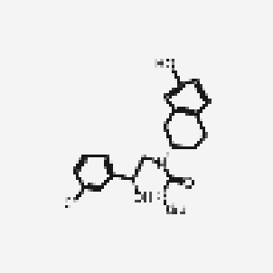 CC(C)(C)OC(=O)N(C[C@@H](O)c1cccc(Cl)c1)[C@H]1CCc2ccc(O)cc2C1